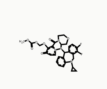 COC(=O)OCOc1c2n(ccc1=O)N(C1c3ccccc3N(C3CC3)Cc3c1ccc(F)c3F)C1COCCN1C2=O